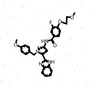 COCCOc1ccc(C(=O)Nc2cc(-c3nc4ccccc4[nH]3)n(Cc3ccc(OC)cc3)n2)cc1F